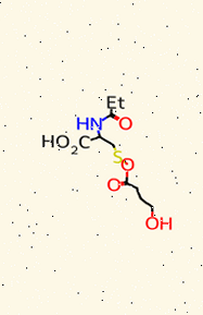 CCC(=O)NC(CSOC(=O)CCCO)C(=O)O